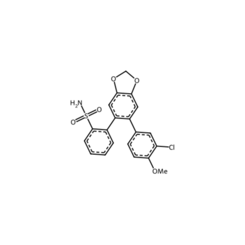 COc1ccc(-c2cc3c(cc2-c2ccccc2S(N)(=O)=O)OCO3)cc1Cl